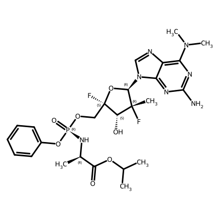 CC(C)OC(=O)[C@@H](C)N[P@@](=O)(OC[C@@]1(F)O[C@@H](n2cnc3c(N(C)C)nc(N)nc32)[C@](C)(F)[C@@H]1O)Oc1ccccc1